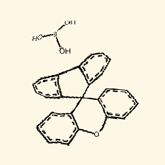 OB(O)O.c1ccc2c(c1)Oc1ccccc1C21c2ccccc2-c2ccccc21